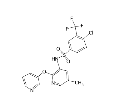 Cc1cnc(Oc2cccnc2)c(NS(=O)(=O)c2ccc(Cl)c(C(F)(F)F)c2)c1